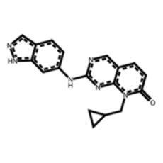 O=c1ccc2cnc(Nc3ccc4cn[nH]c4c3)nc2n1CC1CC1